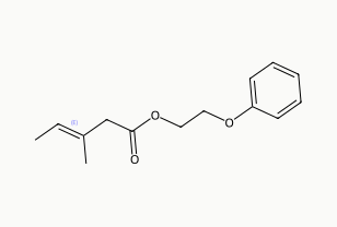 C/C=C(\C)CC(=O)OCCOc1ccccc1